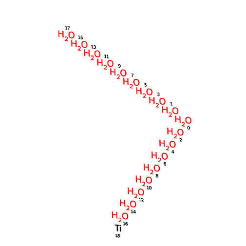 O.O.O.O.O.O.O.O.O.O.O.O.O.O.O.O.O.O.[Ti]